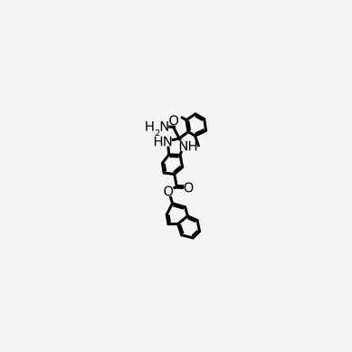 Cc1cccc(C)c1C1(C(N)=O)Nc2ccc(C(=O)Oc3ccc4ccccc4c3)cc2N1